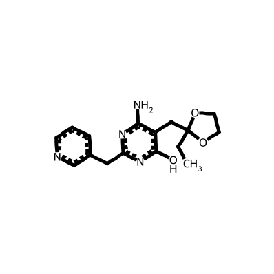 CCC1(Cc2c(N)nc(Cc3cccnc3)nc2O)OCCO1